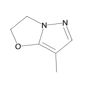 Cc1cnn2c1OCC2